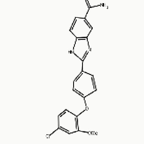 COc1cc(Cl)ccc1Oc1ccc(-c2nc3cc(C(N)=O)ccc3[nH]2)cc1